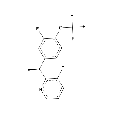 C[C@@H](c1ccc(OC(F)(F)F)c(F)c1)c1ncccc1F